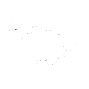 CC(C)C[C@H](NC(=O)[C@H](C)NC(=O)C[C@H](O)[C@H](CC(C)C)NC(=O)[C@@H](NC(=O)[C@@H](NC(=O)C(C)C)C(C)C)C(C)C)[C@@H](O)CC(=O)O